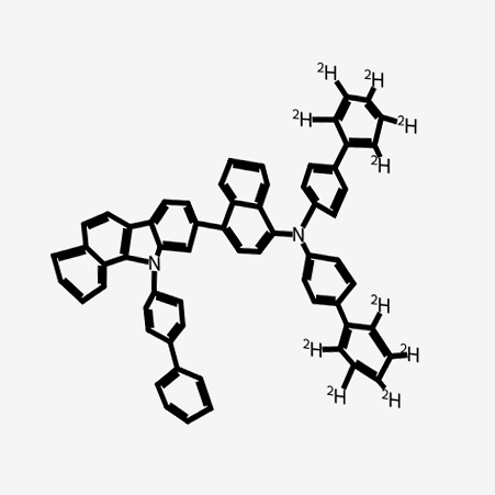 [2H]c1c([2H])c([2H])c(-c2ccc(N(c3ccc(-c4c([2H])c([2H])c([2H])c([2H])c4[2H])cc3)c3ccc(-c4ccc5c6ccc7ccccc7c6n(-c6ccc(-c7ccccc7)cc6)c5c4)c4ccccc34)cc2)c([2H])c1[2H]